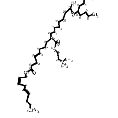 CCCCCC/C=C\COC(=O)CCCCCCCN(CCCCCCCC(O)OC(CCCC)CCCC)C(=O)SCCN(C)C